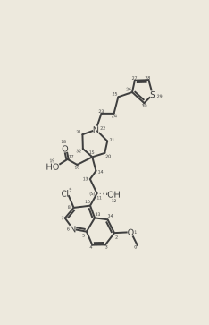 COc1ccc2ncc(Cl)c([C@@H](O)CCC3(CC(=O)O)CCN(CCCc4ccsc4)CC3)c2c1